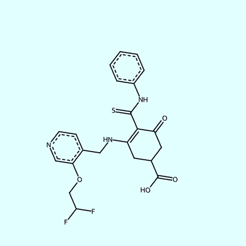 O=C1CC(C(=O)O)CC(NCc2ccncc2OCC(F)F)=C1C(=S)Nc1ccccc1